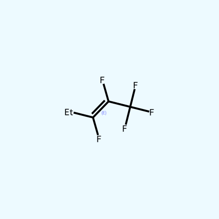 CC/C(F)=C(\F)C(F)(F)F